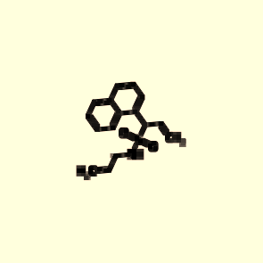 C=C[CH]NS(=O)(=O)C(C=C)c1cccc2ccccc12